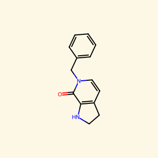 O=c1c2c(ccn1Cc1ccccc1)CCN2